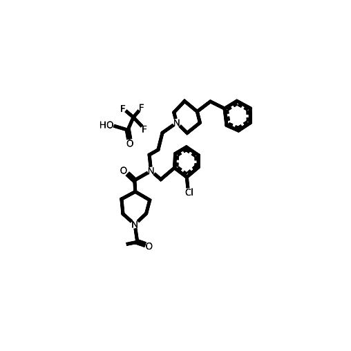 CC(=O)N1CCC(C(=O)N(CCCN2CCC(Cc3ccccc3)CC2)Cc2ccccc2Cl)CC1.O=C(O)C(F)(F)F